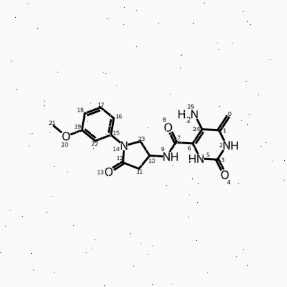 C=C1NC(=O)NC(C(=O)NC2CC(=O)N(c3cccc(OC)c3)C2)=C1N